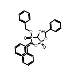 O=P(OCc1ccccc1)(OCc1ccccc1)[C](O)P(=O)(OCc1ccccc1)OCc1ccccc1